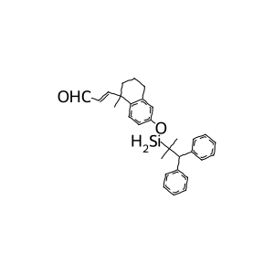 CC1(/C=C/C=O)CCCc2cc(O[SiH2]C(C)(C)C(c3ccccc3)c3ccccc3)ccc21